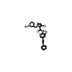 CC(=O)N1CCCC(Cn2ncc(Cl)c2C(=O)Nc2ncc(C#Cc3ccccc3)cc2F)C1